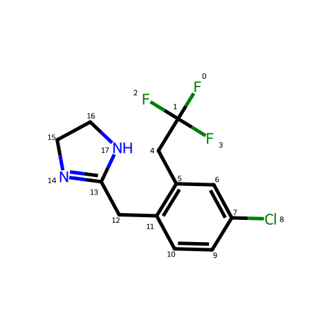 FC(F)(F)Cc1cc(Cl)ccc1CC1=NCCN1